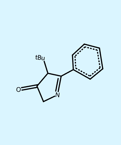 CC(C)(C)C1C(=O)CN=C1c1ccccc1